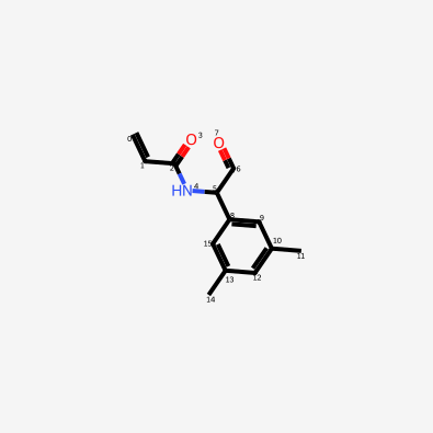 C=CC(=O)NC([C]=O)c1cc(C)cc(C)c1